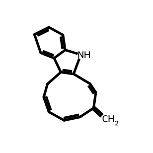 C=C1/C=C\C=C/Cc2c([nH]c3ccccc23)/C=C\1